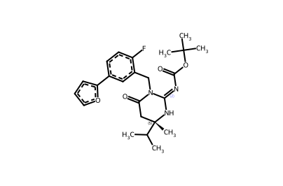 CC(C)[C@]1(C)CC(=O)N(Cc2cc(-c3ccco3)ccc2F)/C(=N\C(=O)OC(C)(C)C)N1